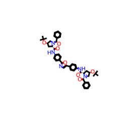 CC(C)(C)O[C@@H]1C[C@@H](C(=O)Nc2ccc(-c3cnc(-c4ccc(NC(=O)[C@@H]5C[C@@H](OC(C)(C)C)CN5C(=O)c5ccccc5)cc4)o3)cc2)N(C(=O)c2ccccc2)C1